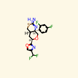 NC1=N[C@@]2(c3ccc(F)cc3F)CO[C@@H](c3nc(C(F)F)co3)C[C@H]2CS1